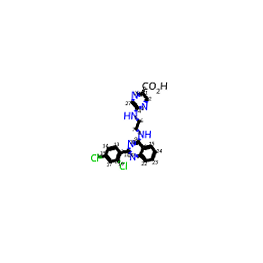 O=C(O)c1cnc(NCCNc2nc(-c3ccc(Cl)cc3Cl)nc3ccccc23)cn1